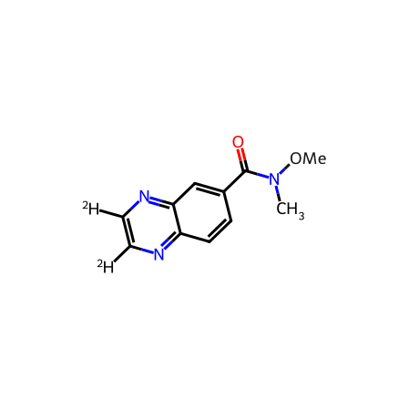 [2H]c1nc2ccc(C(=O)N(C)OC)cc2nc1[2H]